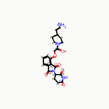 NCCC1CCN(C(=O)COc2cccc3c2C(=O)N(C2CCC(=O)NC2=O)C3=O)CC1